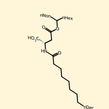 CCCCCCCCCCCCCCCCCC(=O)N[C@@H](CC(=O)OC(CCCCCC)CCCCCCCCC)C(=O)O